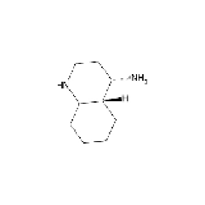 N[C@H]1CCNC2CCCC[C@H]21